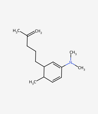 C=C(C)CCCC1C=C(N(C)C)C=CC1C